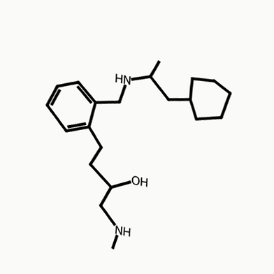 CNCC(O)CCc1ccccc1CNC(C)CC1CCCCC1